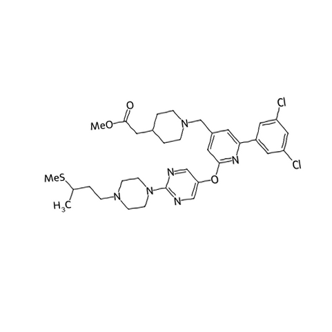 COC(=O)CC1CCN(Cc2cc(Oc3cnc(N4CCN(CCC(C)SC)CC4)nc3)nc(-c3cc(Cl)cc(Cl)c3)c2)CC1